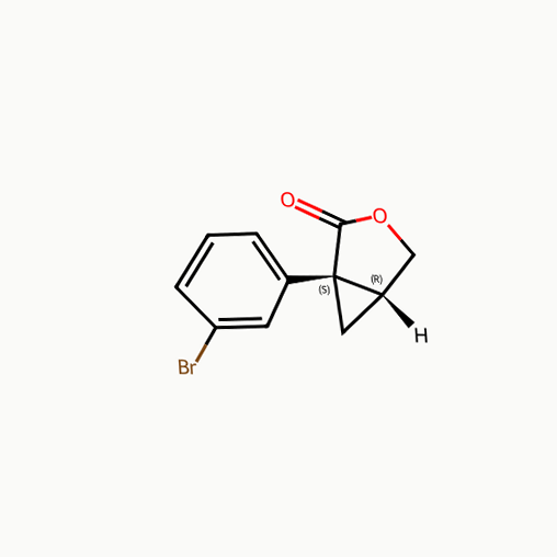 O=C1OC[C@@H]2C[C@]12c1cccc(Br)c1